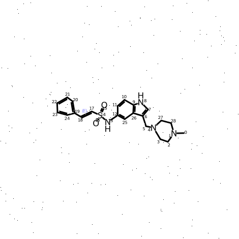 CN1CCN(Cc2c[nH]c3ccc(NS(=O)(=O)/C=C/c4ccccc4)cc23)CC1